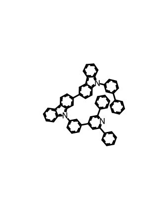 c1ccc(-c2cccc(-n3c4ccccc4c4cc(-c5ccc6c7ccccc7n(-c7cccc(-c8cc(-c9ccccc9)nc(-c9ccccc9)c8)c7)c6c5)ccc43)c2)cc1